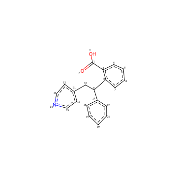 O=C(O)c1ccccc1C(Cc1ccncc1)c1ccccc1